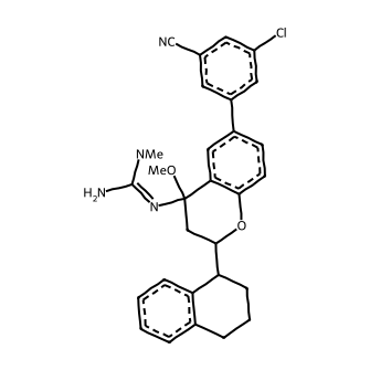 CN/C(N)=N\C1(OC)CC(C2CCCc3ccccc32)Oc2ccc(-c3cc(Cl)cc(C#N)c3)cc21